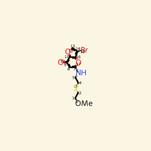 COCCSCCNc1cc(=O)c2occ(Br)c2o1